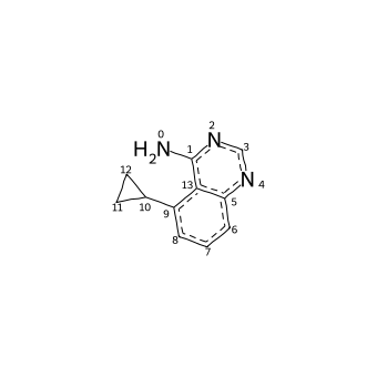 Nc1ncnc2cccc(C3CC3)c12